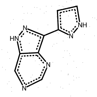 c1ncc2[nH]nc(-c3cc[nH]n3)c2n1